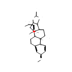 CCCC1O[C@@H]2C[C@H]3[C@@H]4CCC5=CC(=NO)C=C[C@]5(C)[C@H]4[C@@H](O)C[C@]3(C)[C@]2(/C(CO)=N/O)O1